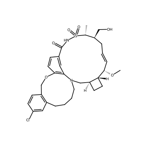 CO[C@H]1/C=C/C[C@H](CO)[C@@H](C)S(=O)(=O)NC(=O)c2ccc3c(c2)N(CCCCc2cc(Cl)ccc2CO3)C[C@@H]2CC[C@H]21